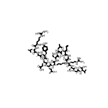 CC[C@H](C)[C@H](NC(=O)[C@H](CC(C)C)NC(=O)[C@H](CS)NC(=O)[C@H](CCCCN)NC(=O)[C@H](CCC(=O)O)NC(=O)[C@H](CCC(=O)O)NC(=O)[C@H](Cc1ccc(O)cc1)NC(=O)[C@H](C)NC(=O)[C@H](CC(C)C)NC(=O)[C@@H](N)CCCNC(=N)N)C(=O)N[C@@H](C)C(=O)N[C@@H](CCCNC(=N)N)C(=O)N[C@@H](CS)C(=O)N[C@@H](C)C(=O)N[C@H](C(=O)O)C(C)C